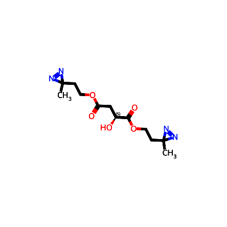 CC1(CCOC(=O)C[C@H](O)C(=O)OCCC2(C)N=N2)N=N1